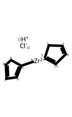 C1=CC[C]([Zr+2][C]2=CC=CC2)=C1.[Cl-].[H+]